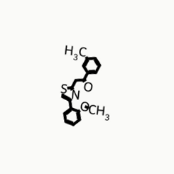 COc1ccccc1-c1csc(CC(=O)c2cccc(C)c2)n1